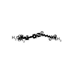 CC(=O)ONC(=O)CCCCCCC(=O)N1CCN(c2ccc(C#Cc3ccc(/C=C/C(=O)OC(C)(C)C)s3)cc2)CC1